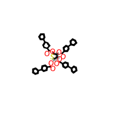 O=C(OC[C@@H]1SC(OC(=O)C2C=CC(c3ccccc3)=CC2)[C@H](OC(=O)c2ccc(-c3ccccc3)cc2)[C@H]1OC(=O)c1ccc(-c2ccccc2)cc1)c1ccc(-c2ccccc2)cc1